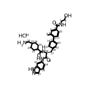 Cc1cc(C(=O)NCCO)ccc1-c1ccc(C[C@H](NC(=O)C2CCC(CN)CC2)C(=O)Nc2ccc3cn[nH]c3c2)cc1.Cl